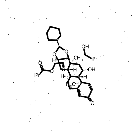 CC(C)C(=O)OCC(=O)[C@@]12O[C@H](C3CCCCC3)O[C@@H]1C[C@H]1[C@@H]3CCC4=CC(=O)C=C[C@]4(C)[C@H]3[C@@H](O)C[C@@]12C.CC(C)CO